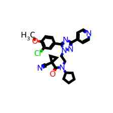 COc1ccc(-c2nc(-c3ccncc3)nn2CCN(C(=O)C2(C#N)CC2)C2CCCC2)cc1Cl